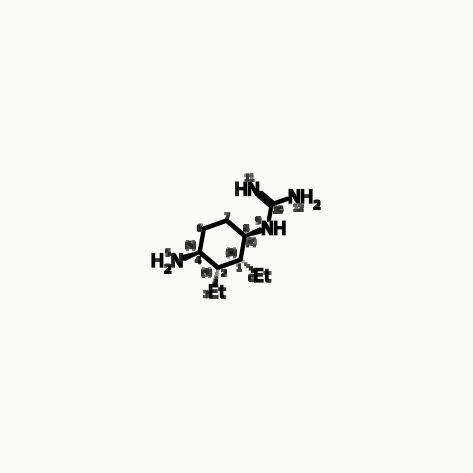 CC[C@@H]1[C@H](CC)[C@@H](N)CC[C@H]1NC(=N)N